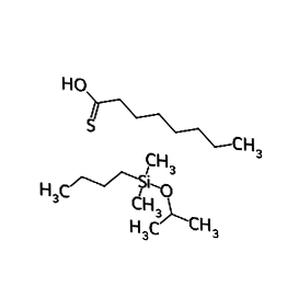 CCCCCCCC(O)=S.CCCC[Si](C)(C)OC(C)C